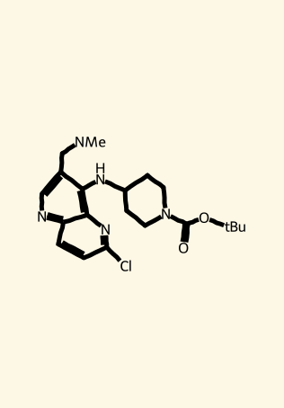 CNCc1cnc2ccc(Cl)nc2c1NC1CCN(C(=O)OC(C)(C)C)CC1